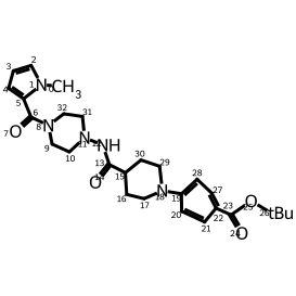 Cn1cccc1C(=O)N1CCN(NC(=O)C2CCN(c3ccc(C(=O)OC(C)(C)C)cc3)CC2)CC1